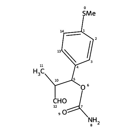 CSc1ccc(C(OC(N)=O)C(C)C=O)cc1